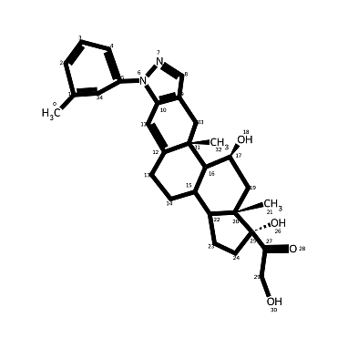 Cc1cccc(-n2ncc3c2C=C2CCC4C([C@@H](O)C[C@@]5(C)C4CC[C@]5(O)C(=O)CO)[C@@]2(C)C3)c1